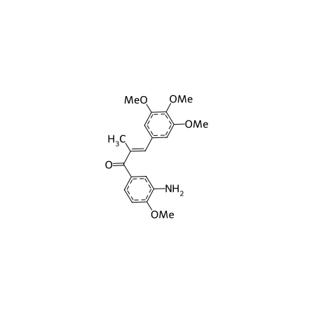 COc1ccc(C(=O)C(C)=Cc2cc(OC)c(OC)c(OC)c2)cc1N